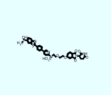 CN(C)c1ccc2nc(-c3ccc(-c4ccc(N(CCOCCOc5ccc6c(c5)C(=O)N(C5CCC(=O)NC5=O)C6=O)C(=O)O)nc4)cc3)sc2c1